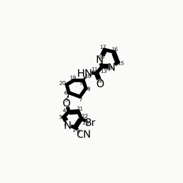 N#Cc1ncc(O[C@H]2CC[C@H](NC(=O)c3ncccn3)CC2)cc1Br